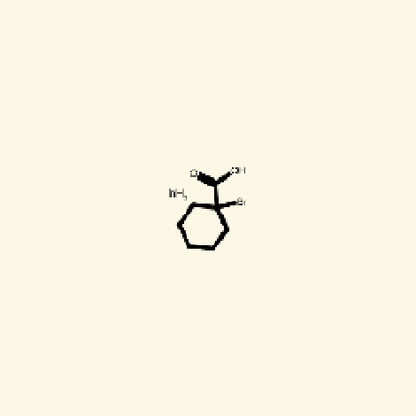 O=C(O)C1(Br)CCCCC1.[InH3]